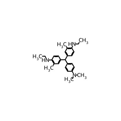 CCNc1ccc(C(c2ccc(N(C)C)cc2)c2ccc(NCC)c(C)c2)cc1C